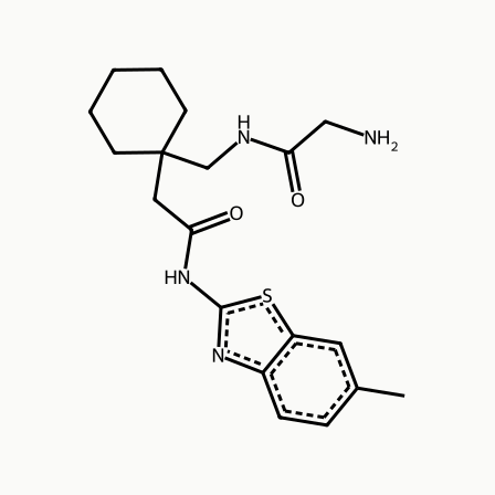 Cc1ccc2nc(NC(=O)CC3(CNC(=O)CN)CCCCC3)sc2c1